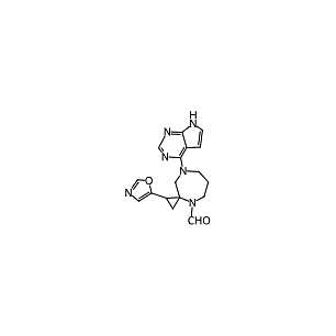 O=CN1CCCN(c2ncnc3[nH]ccc23)CC12CC2c1cnco1